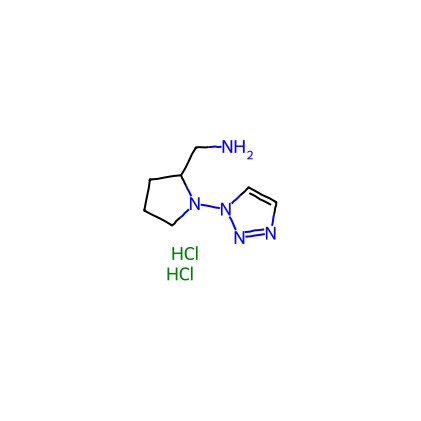 Cl.Cl.NCC1CCCN1n1ccnn1